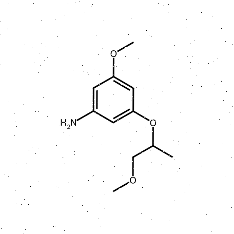 COCC(C)Oc1cc(N)cc(OC)c1